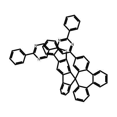 c1ccc(-c2ncc(-c3cc(-c4ccc5c(c4)C4(c6ccccc6-c6ccccc6-5)c5ccccc5-c5cc6c(cc54)sc4ccccc46)nc(-c4ccccc4)n3)cn2)cc1